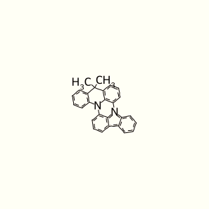 CC1(C)c2ccccc2N2c3c(cccc31)-n1c3ccccc3c3cccc2c31